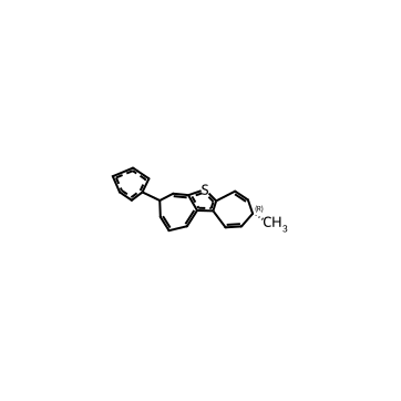 C[C@H]1C=Cc2sc3c(c2C=C1)=CC=CC(c1ccccc1)C=3